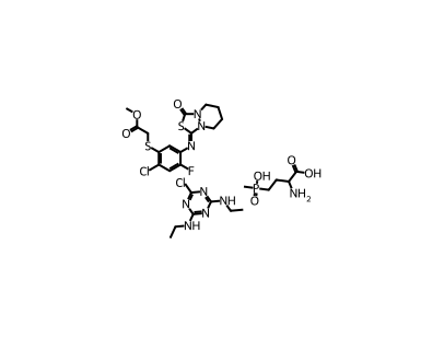 CCNc1nc(Cl)nc(NCC)n1.COC(=O)CSc1cc(/N=c2\sc(=O)n3n2CCCC3)c(F)cc1Cl.CP(=O)(O)CCC(N)C(=O)O